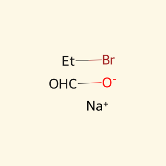 CCBr.O=C[O-].[Na+]